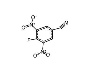 N#Cc1cc([N+](=O)[O-])c(F)c([N+](=O)[O-])c1